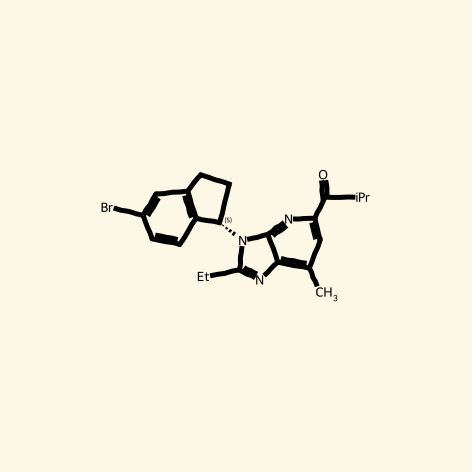 CCc1nc2c(C)cc(C(=O)C(C)C)nc2n1[C@H]1CCc2cc(Br)ccc21